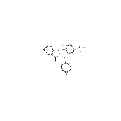 CC(F)(F)c1ccc(C2(O)c3ccc(Br)cc3C(=O)N2Cc2ccc(Cl)cn2)cc1